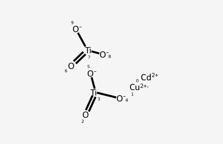 [Cd+2].[Cu+2].[O]=[Ti]([O-])[O-].[O]=[Ti]([O-])[O-]